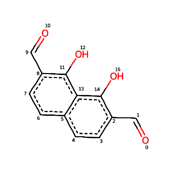 O=Cc1ccc2ccc(C=O)c(O)c2c1O